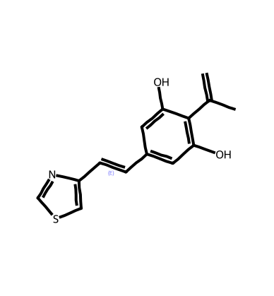 C=C(C)c1c(O)cc(/C=C/c2cscn2)cc1O